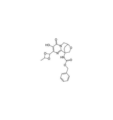 CC1OC(c2nc3n(c(=O)c2O)CC2CCC3(NC(=O)OCc3ccccc3)CO2)O1